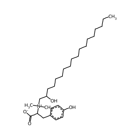 CCCCCCCCCCCCCCCCC(O)C[N+](C)(C)C(Cc1ccc(O)cc1)C(=O)[O-]